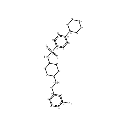 O=S(=O)(NC1CCC(NCc2cccc(F)c2)CC1)c1ccc(N2CCOCC2)nc1